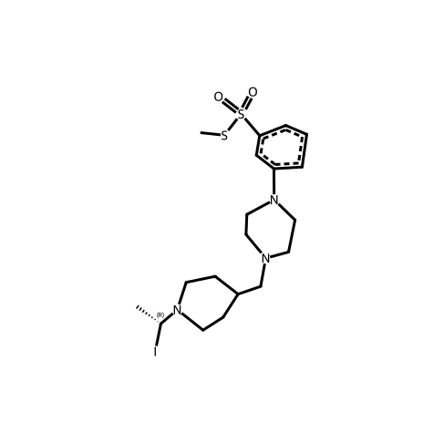 CSS(=O)(=O)c1cccc(N2CCN(CC3CCN([C@@H](C)I)CC3)CC2)c1